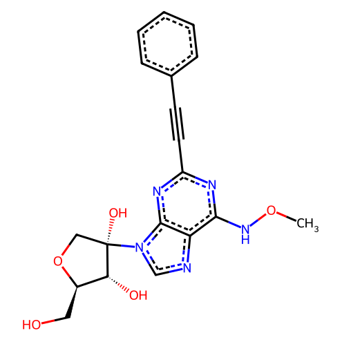 CONc1nc(C#Cc2ccccc2)nc2c1ncn2[C@]1(O)CO[C@H](CO)[C@H]1O